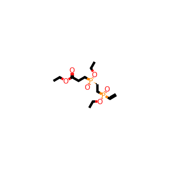 C=CP(=O)(CC[P@](=O)(CCC(=O)OCC)OCC)OCC